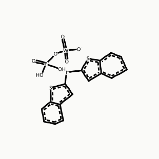 O=P(O)(O)[O][W](=[O])(=[O])[O-].c1ccc2sc([I+]c3cc4ccccc4s3)cc2c1